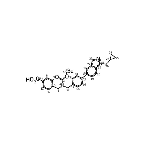 CC(C)(C)OC(=O)N(Cc1ccc(C(=O)O)cc1)Cc1ccc(-c2ccc3c(cnn3CC3CC3)c2)cc1